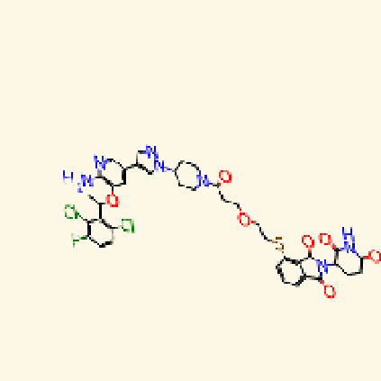 CC(Oc1cc(-c2cnn(C3CCN(C(=O)CCOCCSc4cccc5c4C(=O)N(C4CCC(=O)NC4=O)C5=O)CC3)c2)cnc1N)c1c(Cl)ccc(F)c1Cl